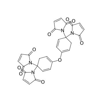 O=C1C=CC(=O)N1C1(N2C(=O)C=CC2=O)C=CC(OC2=CCC(N3C(=O)C=CC3=O)(N3C(=O)C=CC3=O)C=C2)=CC1